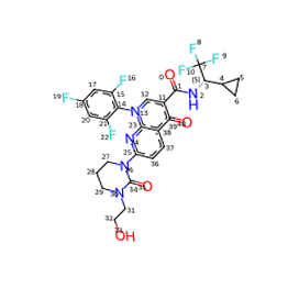 O=C(N[C@@H](C1CC1)C(F)(F)F)c1cn(-c2c(F)cc(F)cc2F)c2nc(N3CCCN(CCO)C3=O)ccc2c1=O